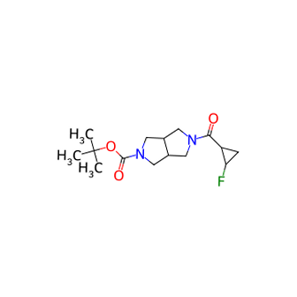 CC(C)(C)OC(=O)N1CC2CN(C(=O)C3CC3F)CC2C1